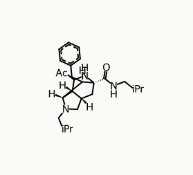 CC(=O)C1N[C@@]2(C(=O)NCC(C)C)C[C@@H]3CN(CC(C)C)[C@@H]([C@H]13)[C@H]2Cc1ccccc1